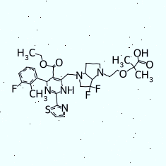 CCOC(=O)C1=C(CN2CC(F)(F)C3C2CCN3CCOC(C)(C)C(=O)O)NC(c2nccs2)=NC1c1cccc(F)c1C